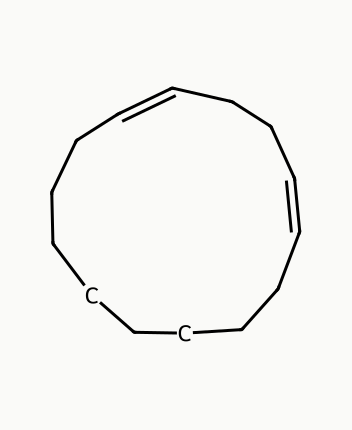 C1=CCCCCCCCCC=CCC1